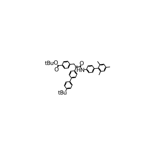 Cc1cc(C)c(-c2ccc(NC(=O)[C@H](Cc3ccc(C(=O)OC(C)(C)C)cc3)c3ccc(-c4ccc(C(C)(C)C)cc4)cc3)cc2)c(C)c1